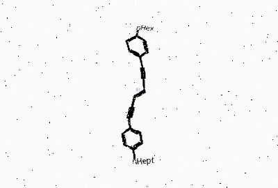 CCCCCCCc1ccc(C#C/C=C/C#Cc2ccc(CCCCCC)cc2)cc1